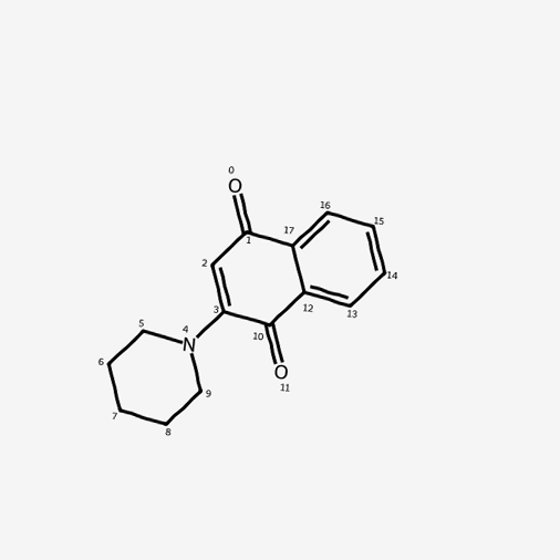 O=C1C=C(N2CCCCC2)C(=O)c2ccccc21